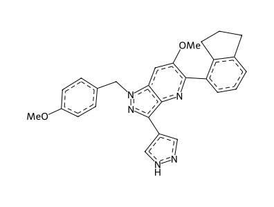 COc1ccc(Cn2nc(-c3cn[nH]c3)c3nc(-c4cccc5c4CCC5)c(OC)cc32)cc1